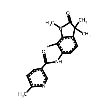 Cc1ccc(C(=O)Nc2ccc3c(c2F)N(C)C(=O)C3(C)C)cn1